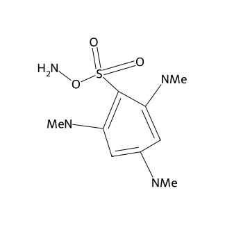 CNc1cc(NC)c(S(=O)(=O)ON)c(NC)c1